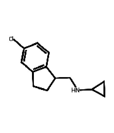 Clc1ccc2c(c1)CCC2CNC1CC1